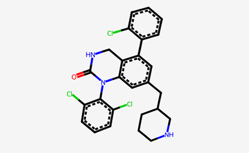 O=C1NCc2c(-c3ccccc3Cl)cc(CC3CCCNC3)cc2N1c1c(Cl)cccc1Cl